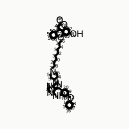 Nc1ncnc2c1c(-c1ccc(Oc3ccccc3)cc1)nn2C1CCN(CCCCCCCCCCOc2cc(O)cc3oc(=O)cc(-c4ccccc4)c23)CC1